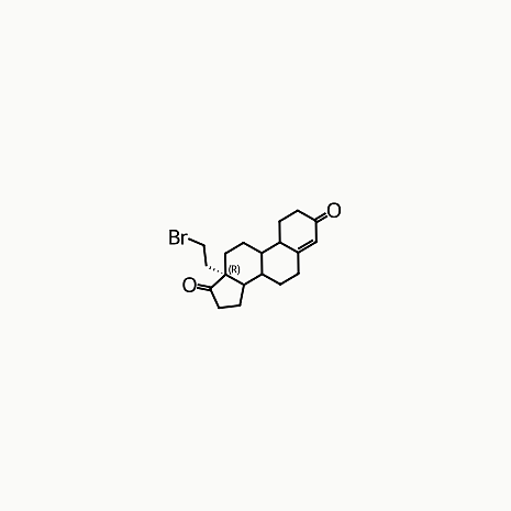 O=C1C=C2CCC3C(CC[C@]4(CCBr)C(=O)CCC34)C2CC1